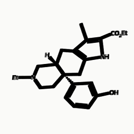 CCOC(=O)c1[nH]c2c(c1C)C[C@H]1CN(CC)CC[C@]1(c1cccc(O)c1)C2